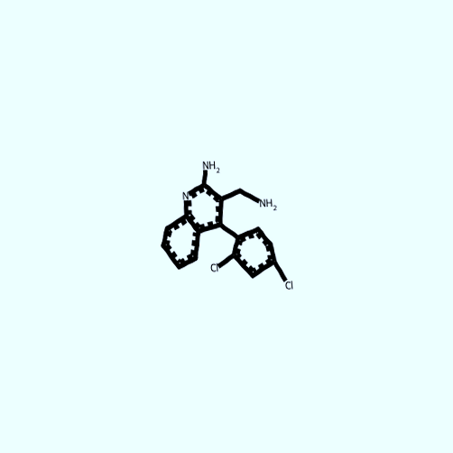 NCc1c(N)nc2ccccc2c1-c1ccc(Cl)cc1Cl